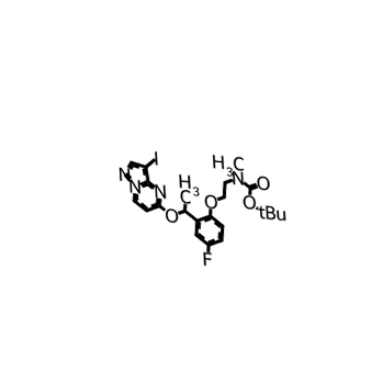 CC(Oc1ccn2ncc(I)c2n1)c1cc(F)ccc1OCCN(C)C(=O)OC(C)(C)C